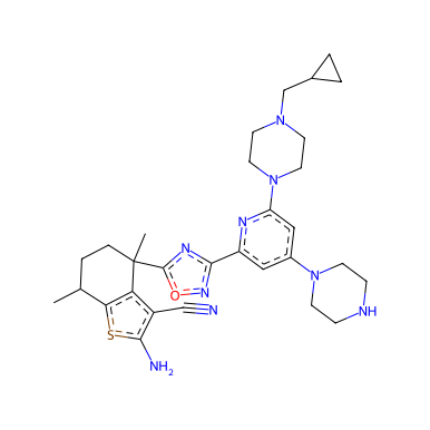 CC1CCC(C)(c2nc(-c3cc(N4CCNCC4)cc(N4CCN(CC5CC5)CC4)n3)no2)c2c1sc(N)c2C#N